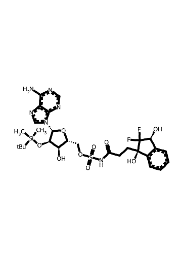 CC(C)(C)[Si](C)(C)O[C@@H]1[C@H](O)[C@@H](COS(=O)(=O)NC(=O)CC[C@@]2(O)c3ccccc3[C@H](O)C2(F)F)O[C@H]1n1cnc2c(N)ncnc21